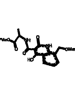 COCc1cccc2c(O)c(C(=O)NC(C)C(=O)OC)c(=O)[nH]c12